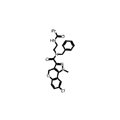 CC(C)C(=O)NCCN(Cc1ccccc1)C(=O)c1nn(C)c2c1COc1ccc(Cl)cc1-2